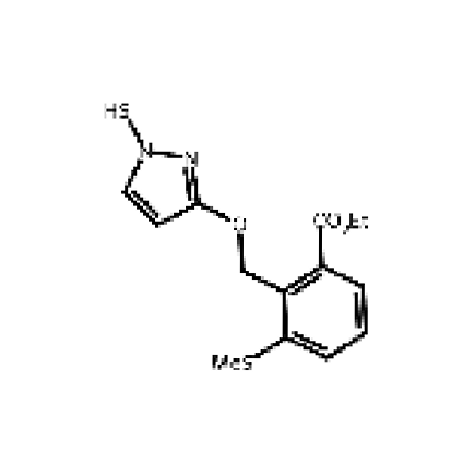 CCOC(=O)c1cccc(SC)c1COc1ccn(S)n1